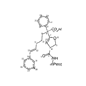 CCCCCNC(=O)C1COC(C(CCCC=Cc2cccnc2)(C(=O)O)c2ccccc2)=N1